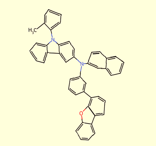 Cc1ccccc1-n1c2ccccc2c2cc(N(c3cccc(-c4cccc5c4oc4ccccc45)c3)c3ccc4ccccc4c3)ccc21